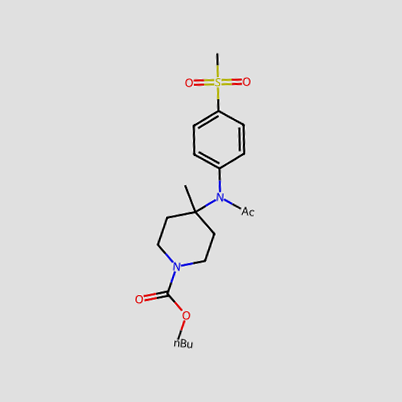 CCCCOC(=O)N1CCC(C)(N(C(C)=O)c2ccc(S(C)(=O)=O)cc2)CC1